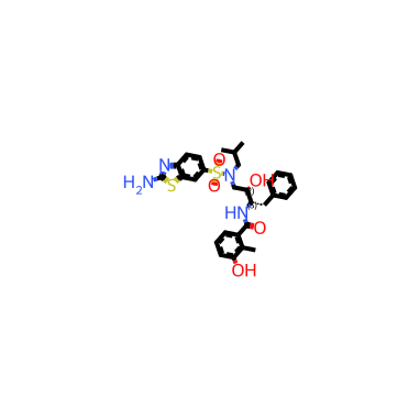 Cc1c(O)cccc1C(=O)N[C@@H](Cc1ccccc1)[C@H](O)CN(CC(C)C)S(=O)(=O)c1ccc2nc(N)sc2c1